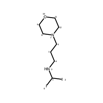 IC(I)NCCCN1CCOCC1